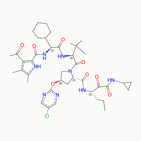 CCC[C@H](NC(=O)[C@@H]1C[C@@H](Oc2ncc(Cl)cn2)CN1C(=O)[C@@H](NC(=O)[C@@H](NC(=O)c1[nH]c(C)c(C)c1C(C)=O)C1CCCCC1)C(C)(C)C)C(=O)C(=O)NC1CC1